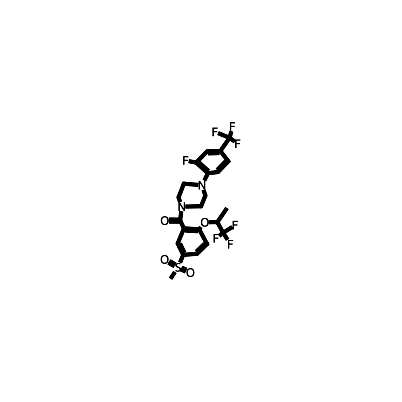 CC(Oc1ccc(S(C)(=O)=O)cc1C(=O)N1CCN(c2ccc(C(F)(F)F)cc2F)CC1)C(F)(F)F